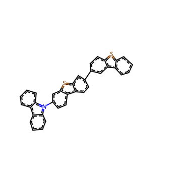 c1ccc2c(c1)sc1ccc(-c3ccc4c(c3)sc3cc(-n5c6ccccc6c6ccccc65)ccc34)cc12